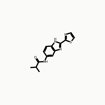 CC(C)C(=O)Nc1ccc2[nH]c(-c3nccs3)nc2c1